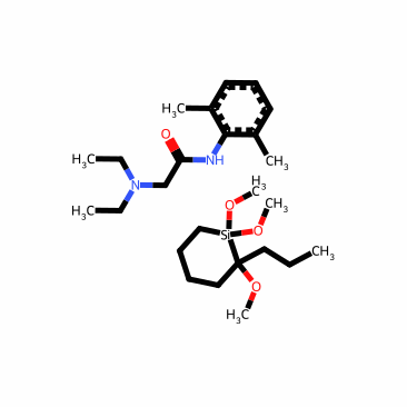 CCCC1(OC)CCCC[Si]1(OC)OC.CCN(CC)CC(=O)Nc1c(C)cccc1C